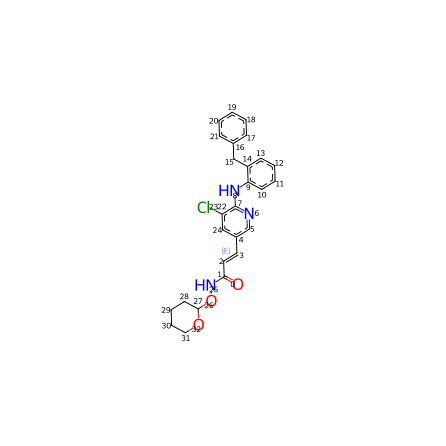 O=C(/C=C/c1cnc(Nc2ccccc2Cc2ccccc2)c(Cl)c1)NOC1CCCCO1